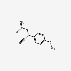 C=C(Cl)CN(C#N)c1ccc(OC)cc1